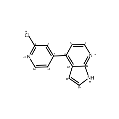 Clc1cc(-c2ccnc3[nH]ccc23)ccn1